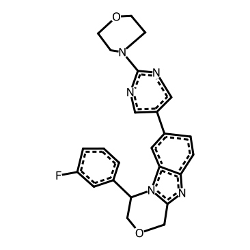 Fc1cccc(C2COCc3nc4ccc(-c5cnc(N6CCOCC6)nc5)cc4n32)c1